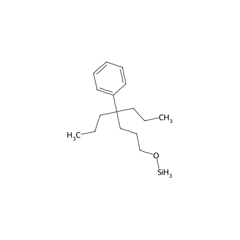 CCCC(CCC)(CCCO[SiH3])c1ccccc1